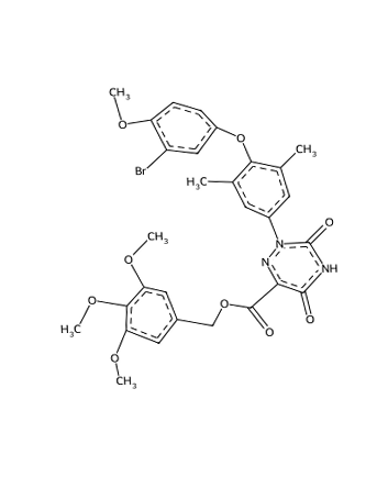 COc1ccc(Oc2c(C)cc(-n3nc(C(=O)OCc4cc(OC)c(OC)c(OC)c4)c(=O)[nH]c3=O)cc2C)cc1Br